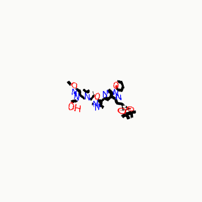 CCOc1cc(CN(C[C@H](C)Oc2c(-c3cc4c(/C=C/B5OC(C)(C)C(C)(C)O5)nn(C5CCCCO5)c4cn3)c(C)nn2C)C(C)C)n(CCO)n1